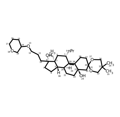 CCC[C@H]1C[C@@]2(C)[C@@H](CC[C@@]2(O)CCCOC2CCCOC2)[C@@H]2CC[C@@]3(O)CC4(CCC3=C12)OCC(C)(C)CO4